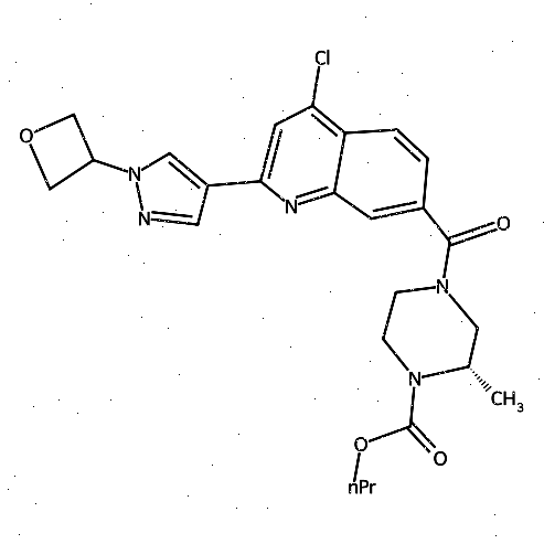 CCCOC(=O)N1CCN(C(=O)c2ccc3c(Cl)cc(-c4cnn(C5COC5)c4)nc3c2)C[C@@H]1C